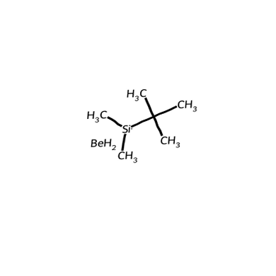 C[Si](C)C(C)(C)C.[BeH2]